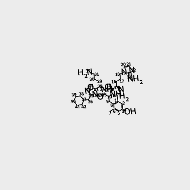 Cc1cc(O)cc(C)c1C[C@H](NC(=O)[C@H](N)CCCn1ccnc1N)C(=O)N[C@@H](CCCN)c1nc(CC2CCCCC2)no1